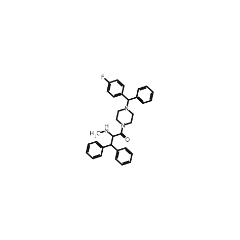 CNC(C(=O)N1CCN(C(c2ccccc2)c2ccc(F)cc2)CC1)C(c1ccccc1)c1ccccc1